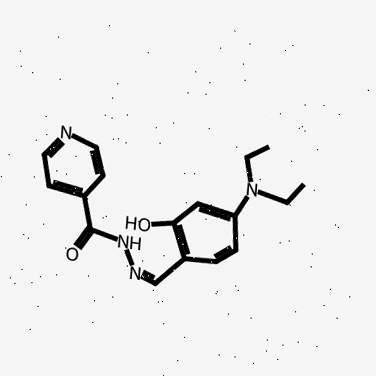 CCN(CC)c1ccc(/C=N\NC(=O)c2ccncc2)c(O)c1